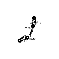 COc1cc2c(cc1OCCCCCOc1cc3c(cc1OC)C(=O)N1Cc4ccccc4CC1(N)C=N3)N=CC1Cc3ccccc3CN1C2=O